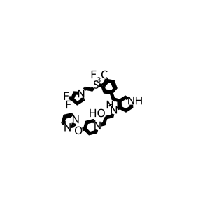 OC(CN1CCC(Oc2ncccn2)CC1)Cn1nc(-c2ccc(C(F)(F)F)c(SCCN3CCC(F)(F)C3)c2)c2c1CCNC2